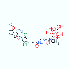 CN(C[C@H](O)[C@@H](O)[C@H](O)[C@H](O)CO)C(=O)CN1CCN(C(=O)CCCCc2cc(Cl)c(COC3(c4cnccc4-c4ccccc4OC4CC4)CC3)cc2Cl)CC1